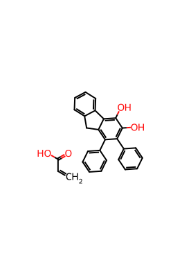 C=CC(=O)O.Oc1c(O)c(-c2ccccc2)c(-c2ccccc2)c2c1-c1ccccc1C2